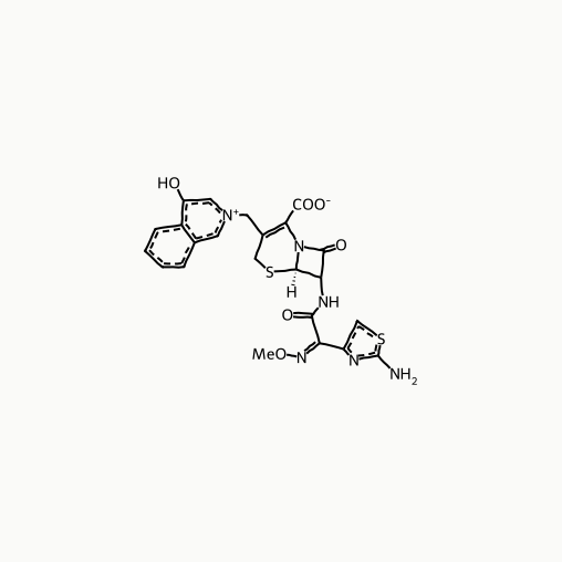 CO/N=C(\C(=O)NC1C(=O)N2C(C(=O)[O-])=C(C[n+]3cc(O)c4ccccc4c3)CS[C@H]12)c1csc(N)n1